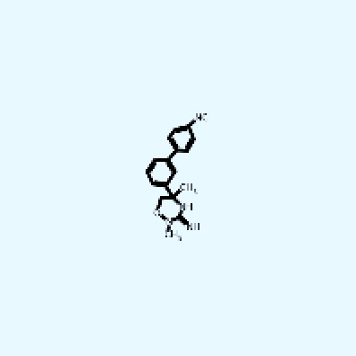 [C-]#[N+]c1ccc(-c2cccc(C3(C)CON(C)C(=N)N3)c2)cc1